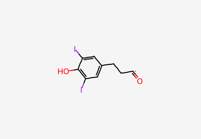 O=[C]CCc1cc(I)c(O)c(I)c1